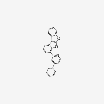 c1ccc(-c2ccnc(-c3cccc4c3oc3oc5ccccc5c34)c2)cc1